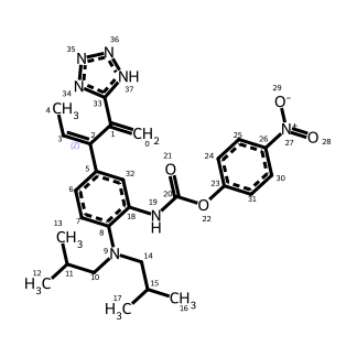 C=C(/C(=C\C)c1ccc(N(CC(C)C)CC(C)C)c(NC(=O)Oc2ccc([N+](=O)[O-])cc2)c1)c1nnn[nH]1